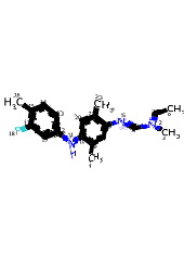 CCN(C)/C=N/c1cc(C)c(Nc2ccc(C)c(F)c2)cc1C